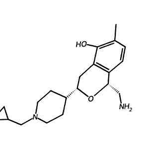 Cc1ccc2c(c1O)C[C@@H](C1CCN(CC3CC3)CC1)O[C@H]2CN